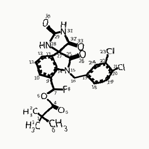 CC(C)(C)C(=O)OC(F)c1cccc2c1N(Cc1ccc(Cl)c(Cl)c1)C(=O)C21NC(=O)NC1=O